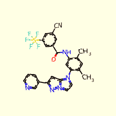 Cc1cc(C)c(-n2ccn3nc(-c4cccnc4)cc23)cc1NC(=O)c1cc(C#N)cc(S(F)(F)(F)(F)F)c1